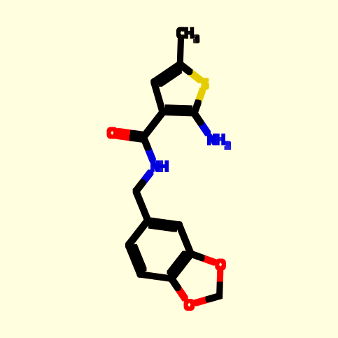 Cc1cc(C(=O)NCc2ccc3c(c2)OCO3)c(N)s1